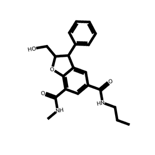 CCCNC(=O)c1cc(C(=O)NC)c2c(c1)C(c1ccccc1)C(CO)O2